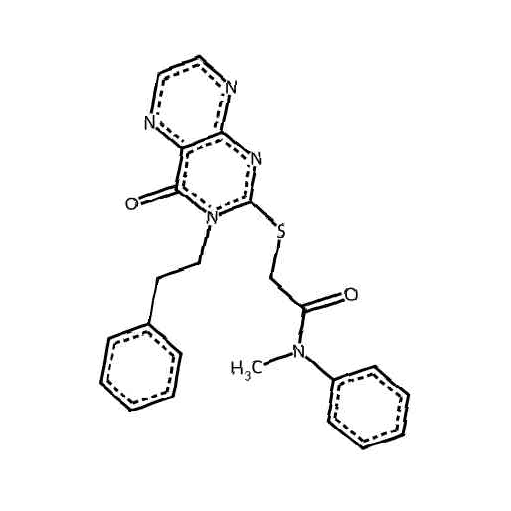 CN(C(=O)CSc1nc2nccnc2c(=O)n1CCc1ccccc1)c1ccccc1